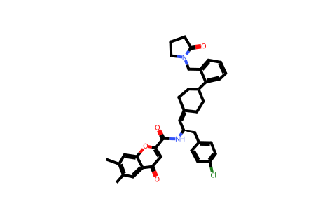 Cc1cc2oc(C(=O)N[C@@H](C=C3CCC(c4ccccc4CN4CCCC4=O)CC3)Cc3ccc(Cl)cc3)cc(=O)c2cc1C